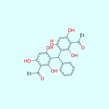 CCC(=O)c1c(O)cc(O)c(C(c2ccccc2)c2c(O)cc(O)c(C(=O)CC)c2O)c1O